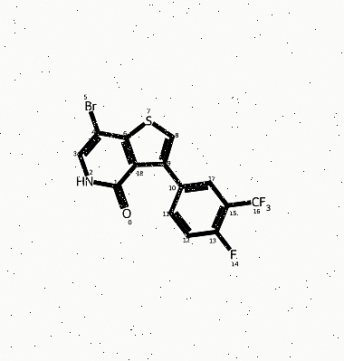 O=c1[nH]cc(Br)c2scc(-c3ccc(F)c(C(F)(F)F)c3)c12